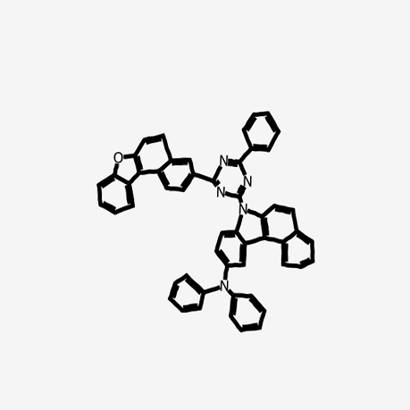 c1ccc(-c2nc(-c3ccc4c(ccc5oc6ccccc6c54)c3)nc(-n3c4ccc(N(c5ccccc5)c5ccccc5)cc4c4c5ccccc5ccc43)n2)cc1